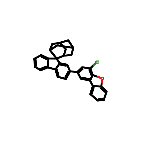 Clc1cc(-c2ccc3c(c2)C2(c4ccccc4-3)C3CC4CC(C3)CC2C4)cc2c1oc1ccccc12